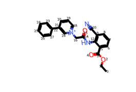 CCOC(=O)c1cccc(C#N)c1NC(=O)C[n+]1cccc(-c2ccccc2)c1